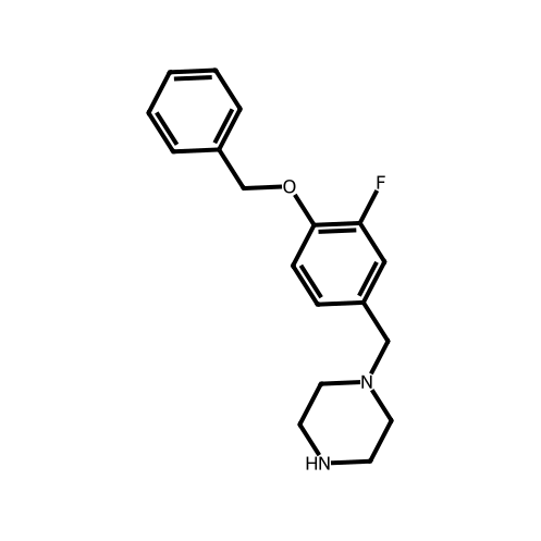 Fc1cc(CN2CCNCC2)ccc1OCc1ccccc1